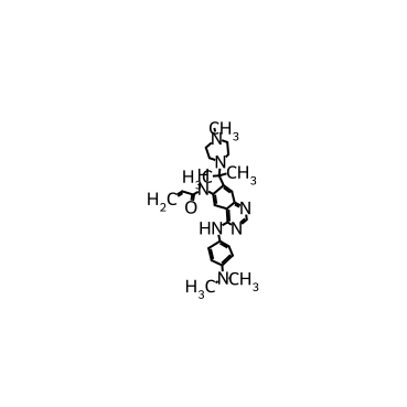 C=CC(=O)Nc1cc2c(Nc3ccc(N(C)C)cc3)ncnc2cc1C(C)(C)N1CCN(C)CC1